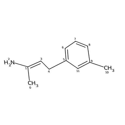 C/C(N)=C\Cc1cccc(C)c1